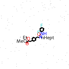 CCCCCCCN(CCc1ccc(CC(OCC)C(=O)OC)cc1)C(=O)Nc1ccc(F)cc1F